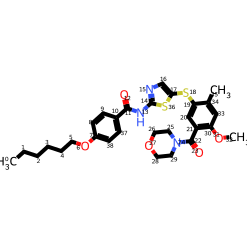 CCCCCCOc1ccc(C(=O)Nc2ncc(Sc3cc(C(=O)N4CCOCC4)c(OC)cc3C)s2)cc1